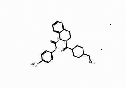 NCC1CCC(C(=O)N2CCc3ccccc3[C@H]2C(=O)Nc2ccc(C(=O)O)cc2)CC1